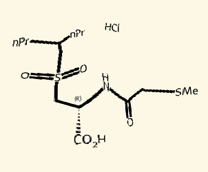 CCCC(CCC)S(=O)(=O)C[C@H](NC(=O)CSC)C(=O)O.Cl